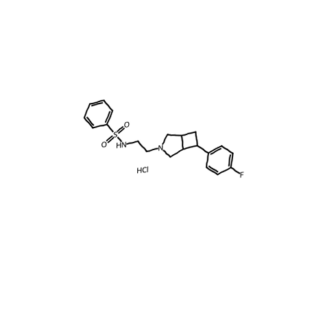 Cl.O=S(=O)(NCCN1CC2CC(c3ccc(F)cc3)C2C1)c1ccccc1